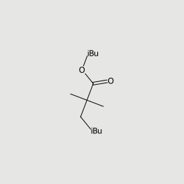 CCC(C)CC(C)(C)C(=O)OC(C)CC